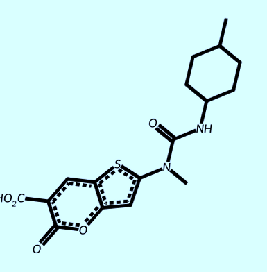 CC1CCC(NC(=O)N(C)c2cc3oc(=O)c(C(=O)O)cc3s2)CC1